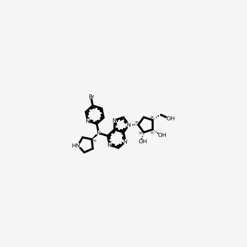 OC[C@H]1C[C@@H](n2cnc3c(N(c4ccc(Br)cn4)[C@H]4CCNC4)ncnc32)[C@@H](O)[C@H]1O